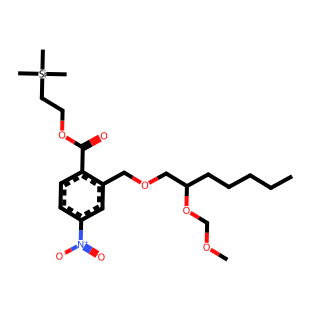 CCCCCC(COCc1cc([N+](=O)[O-])ccc1C(=O)OCC[Si](C)(C)C)OCOC